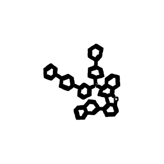 c1ccc(-c2ccc(-c3cccc(N(c4ccc(-c5ccccc5)cc4)c4cc5c(oc6cccc(-c7ccc8ccccc8c7)c65)c5ccccc45)c3)cc2)cc1